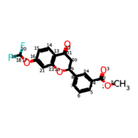 COC(=O)c1cccc(C2CC(=O)c3ccc(OC(F)F)cc3O2)c1